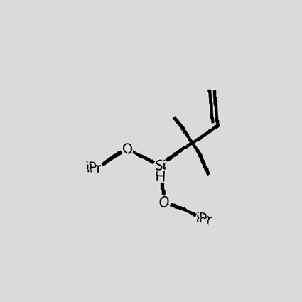 C=CC(C)(C)[SiH](OC(C)C)OC(C)C